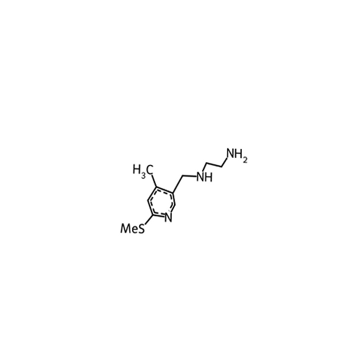 CSc1cc(C)c(CNCCN)cn1